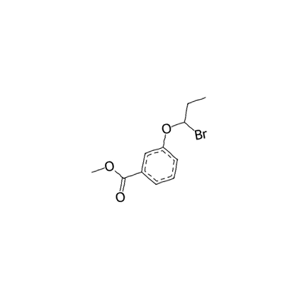 CCC(Br)Oc1cccc(C(=O)OC)c1